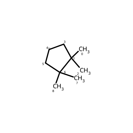 CC1(C)C[C]CC1(C)C